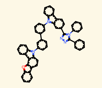 c1ccc(-c2nnc(-c3ccc4c5ccccc5n(-c5cccc(-c6cccc(-n7c8ccccc8c8c9oc%10ccccc%10c9ccc87)c6)c5)c4c3)n2-c2ccccc2)cc1